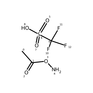 CC(=O)ON.O=S(=O)(O)C(F)(F)F